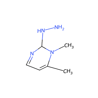 CC1=CC=NC(NN)N1C